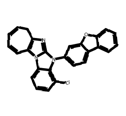 Clc1cccc2c1n(-c1ccc3c(c1)oc1ccccc13)c1nc3c(n21)C=CC=CC3